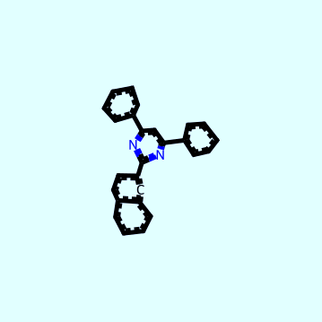 c1ccc(-c2cc(-c3ccccc3)nc(-c3ccc4ccccc4c3)n2)cc1